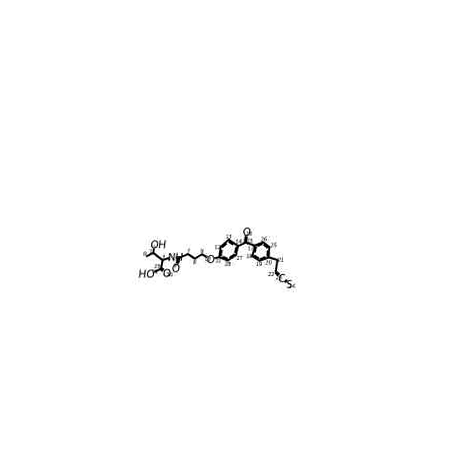 CC(O)C(NC(=O)CCCOc1ccc(C(=O)c2ccc(CC=C=S)cc2)cc1)C(=O)O